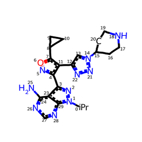 CC(C)n1nc(-c2noc(C3CC3)c2-c2cn(C3CCNCC3)nn2)c2c(N)ncnc21